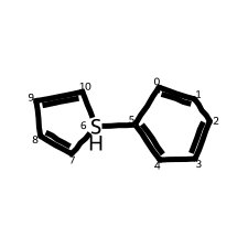 [c]1ccccc1[SH]1C=CC=C1